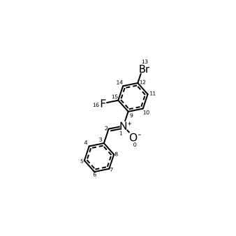 [O-][N+](=Cc1ccccc1)c1ccc(Br)cc1F